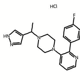 CC(c1cn[nH]c1)N1CCN(c2cccnc2-c2ccc(F)cc2)CC1.Cl